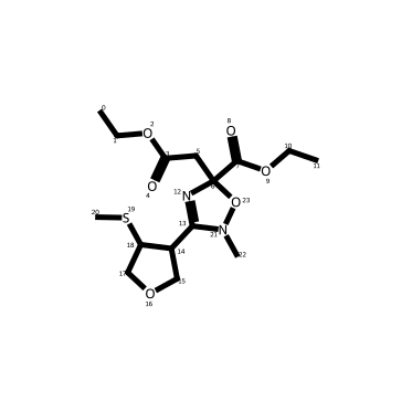 CCOC(=O)CC1(C(=O)OCC)N=C(C2COCC2SC)N(C)O1